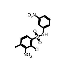 Cc1ccc(S(=O)(=O)Nc2cccc([N+](=O)[O-])c2)c(Cl)c1[N+](=O)[O-]